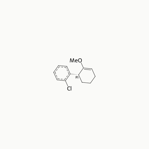 COC1=CCCC[C@@H]1c1ccccc1Cl